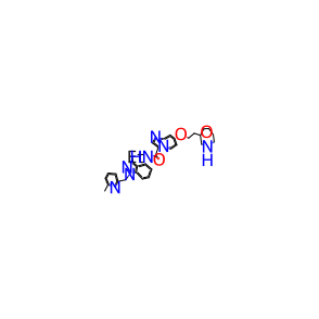 CCc1nn(Cc2cccc(C)n2)c2cccc(NC(=O)c3cnc4cc(OCCC56CCC(CNC5)O6)ccn34)c12